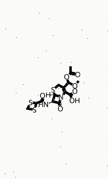 COC(OC(C)=O)C1=C(C(=O)O)N2C(=O)[C@H](NC(=O)C3SCS3)[C@H]2SC1